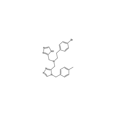 Cc1ccc(Cn2cnnc2CN(CCc2ccc(Br)cc2)Cc2nnc[nH]2)cc1